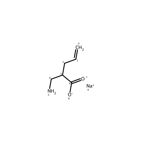 C=CCC(CN)C(=O)[O-].[Na+]